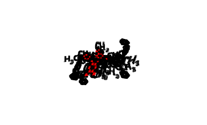 C=CCO[C@H]1OC(CO[C@@H]2OC(COCc3ccccc3)[C@@H](C)[C@H](C)C2O)[C@@H](O[C@@H]2OC(COCc3ccccc3)[C@@H](C)[C@H](C)C2O[C@@H]2OC(CC)[C@@H](O[C@@H]3OC(COCc4ccccc4)[C@H](O[C@H]4OC(COCc5ccccc5)[C@H](C)[C@H](C)C4C)[C@H](C)C3OCc3ccccc3)[C@H](C)C2OCc2ccccc2)[C@H](O[C@@H]2OC(CC)[C@@H](C)[C@H](C)C2OCc2ccccc2)C1C